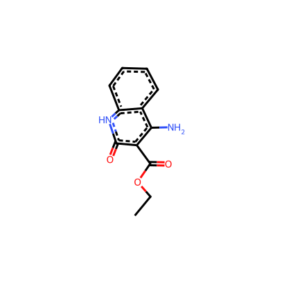 CCOC(=O)c1c(N)c2ccccc2[nH]c1=O